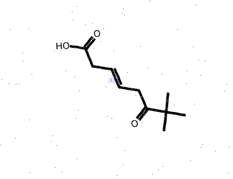 CC(C)(C)C(=O)C/C=C/CC(=O)O